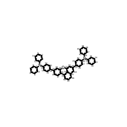 c1ccc(N(c2ccccc2)c2ccc(-c3ccc4c(c3)Oc3cc(-c5ccc(N(c6ccccc6)c6ccccc6)cc5)cc5cccc-4c35)cc2)cc1